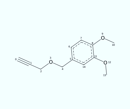 C#CCOCc1ccc(OC)c(OC)c1